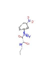 CCCNC(=O)C(=O)Nc1cccc([N+](=O)[O-])c1